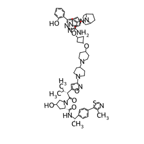 Cc1ncsc1-c1ccc([C@H](C)NC(=O)[C@@H]2C[C@@H](O)CN2C(=O)[C@@H](c2cc(N3CCC(N4CCC(O[C@H]5C[C@H](Oc6cc(N7C8CCC7CN(c7cc(-c9ccccc9O)nnc7N)C8)ccn6)C5)CC4)CC3)no2)C(C)C)cc1